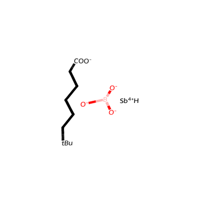 CC(C)(C)CCCCCC(=O)[O-].[O-]B([O-])[O-].[SbH+4]